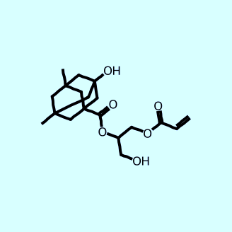 C=CC(=O)OCC(CO)OC(=O)C12CC3(C)CC(C)(CC(O)(C3)C1)C2